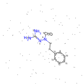 NC(N)=NN(C=O)CCc1ccccc1